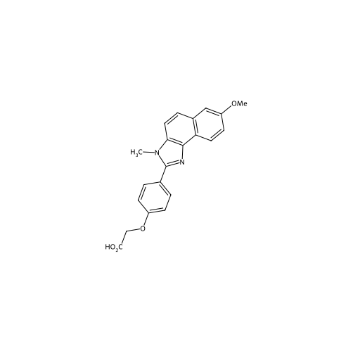 COc1ccc2c(ccc3c2nc(-c2ccc(OCC(=O)O)cc2)n3C)c1